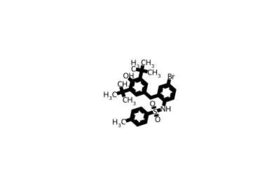 Cc1ccc(S(=O)(=O)Nc2ccc(Br)cc2Cc2cc(C(C)(C)C)c(O)c(C(C)(C)C)c2)cc1